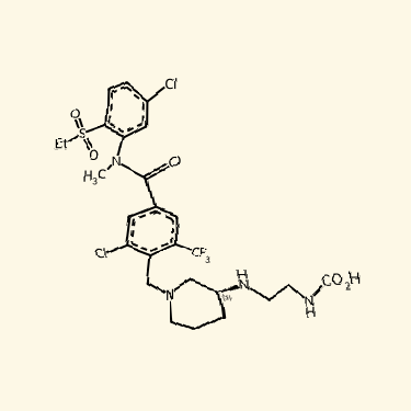 CCS(=O)(=O)c1ccc(Cl)cc1N(C)C(=O)c1cc(Cl)c(CN2CCC[C@H](NCCNC(=O)O)C2)c(C(F)(F)F)c1